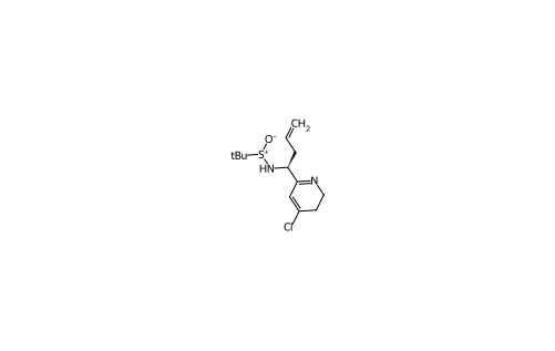 C=CC[C@H](N[S+]([O-])C(C)(C)C)C1=NCCC(Cl)=C1